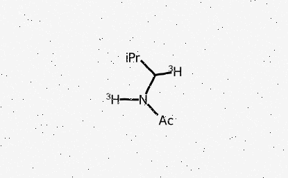 [3H]C(C(C)C)N([3H])C(C)=O